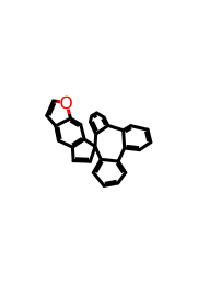 C1=CC2(c3cc4occc4cc31)c1ccccc1-c1ccccc1-c1ccccc12